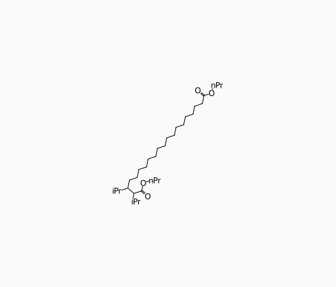 CCCOC(=O)CCCCCCCCCCCCCCCCC(C(C)C)C(C(=O)OCCC)C(C)C